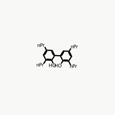 CCCc1cc(CCC)c(O)c(-c2cc(CCC)cc(CCC)c2O)c1